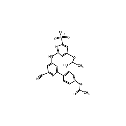 CC(=O)Nc1ccc(-c2cc(Nc3cc(OC(C)C)cc(S(C)(=O)=O)n3)cc(C#N)n2)cn1